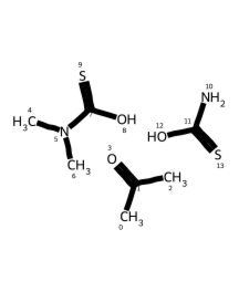 CC(C)=O.CN(C)C(O)=S.NC(O)=S